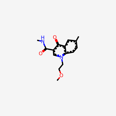 CNC(=O)c1cn(CCOC)c2ccc(C)cc2c1=O